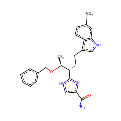 C[C@H](OCc1ccccc1)[C@H](CCc1c[nH]c2cc([N+](=O)[O-])ccc12)c1nc(C(N)=O)c[nH]1